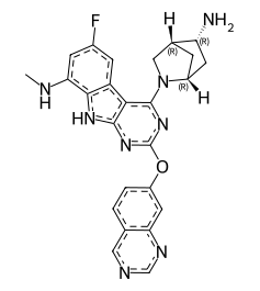 CNc1cc(F)cc2c1[nH]c1nc(Oc3ccc4cncnc4c3)nc(N3C[C@H]4C[C@@H]3C[C@H]4N)c12